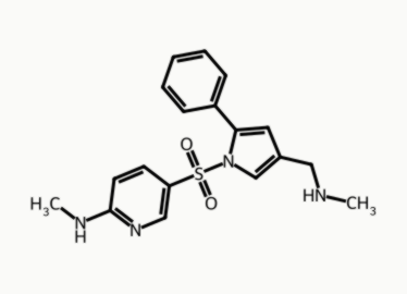 CNCc1cc(-c2ccccc2)n(S(=O)(=O)c2ccc(NC)nc2)c1